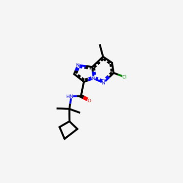 Cc1cc(Cl)nn2c(C(=O)NC(C)(C)C3CCC3)cnc12